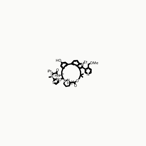 CCn1c(-c2cnccc2COC)c2c3cc(ccc31)-c1cc(O)cc(c1)C[C@H](NC(=O)[C@H](C(C)C)N(C)c1nccs1)C(=O)N1CCC[C@H](N1)C(=O)OCC(C)(C)C2